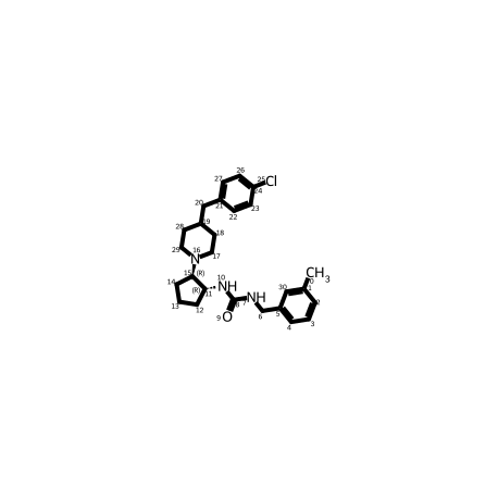 Cc1cccc(CNC(=O)N[C@@H]2CCC[C@H]2N2CCC(Cc3ccc(Cl)cc3)CC2)c1